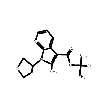 Cc1c(C(=O)OC(C)(C)C)c2cccnc2n1C1CCOC1